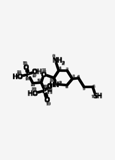 NC1CC(CCCS)CNC1OC(CP(=O)(O)O)P(=O)(O)O